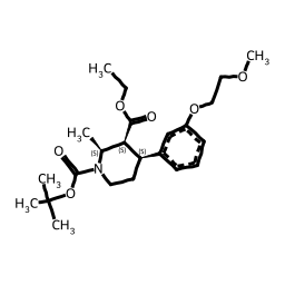 CCOC(=O)[C@H]1[C@@H](c2cccc(OCCOC)c2)CCN(C(=O)OC(C)(C)C)[C@H]1C